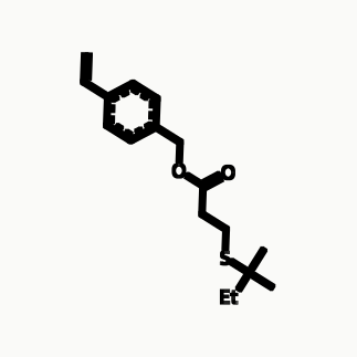 C=Cc1ccc(COC(=O)CCSC(C)(C)CC)cc1